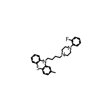 Cc1ccc2c(c1)N(CCCCN1CCN(c3ccccc3F)CC1)c1ccccc1S2